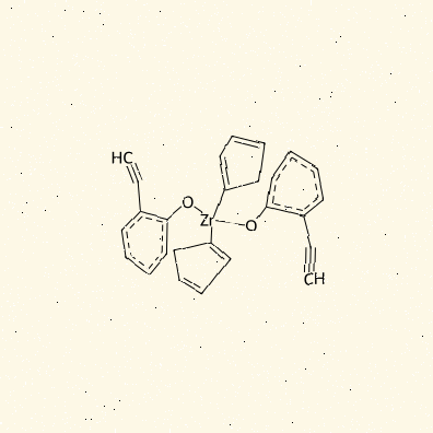 C#Cc1ccccc1[O][Zr]([O]c1ccccc1C#C)([C]1=CC=CC1)[C]1=CC=CC1